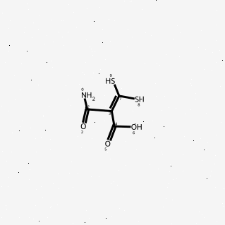 NC(=O)C(C(=O)O)=C(S)S